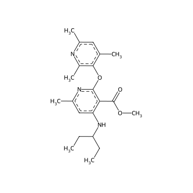 CCC(CC)Nc1cc(C)nc(Oc2c(C)cc(C)nc2C)c1C(=O)OC